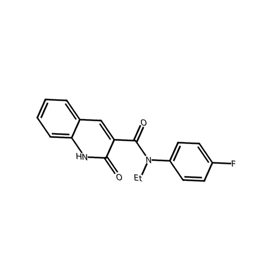 CCN(C(=O)c1cc2ccccc2[nH]c1=O)c1ccc(F)cc1